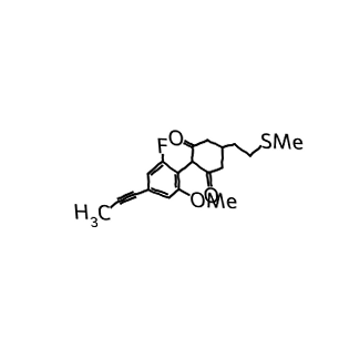 CC#Cc1cc(F)c(C2C(=O)CC(CCSC)CC2=O)c(OC)c1